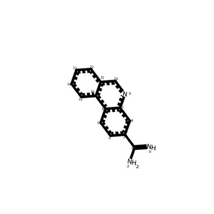 N=C(N)c1ccc2c(c1)ncc1ccccc12